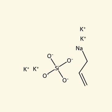 C=C[CH2][Na].[K+].[K+].[K+].[K+].[O-][Si]([O-])([O-])[O-]